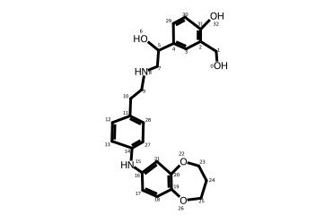 OCc1cc(C(O)CNCCc2ccc(Nc3ccc4c(c3)OCCCO4)cc2)ccc1O